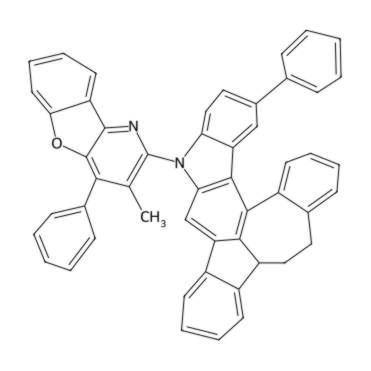 Cc1c(-n2c3ccc(-c4ccccc4)cc3c3c4c5c(cc32)-c2ccccc2C5CCc2ccccc2-4)nc2c(oc3ccccc32)c1-c1ccccc1